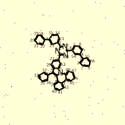 c1ccc(-c2cccc(-c3nc(-c4cccc(-c5ccccc5)c4)nc(-c4ccc5c(-c6ccccc6)c6c7ccccc7c7ccccc7n6c5c4)n3)c2)cc1